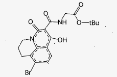 CC(C)(C)OC(=O)CNC(=O)c1c(O)c2ccc(Br)c3c2n(c1=O)CCC3